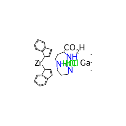 C1=C[CH]([Zr][CH]2C=Cc3ccccc32)c2ccccc21.Cl.Cl.O=C(O)C1CCN2CCCN=C2N1.[Ga]